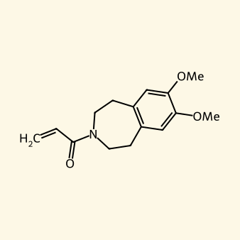 C=CC(=O)N1CCc2cc(OC)c(OC)cc2CC1